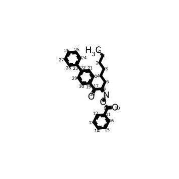 CCCCCCC(=NOC(=O)c1ccccc1)C(=O)c1ccc(-c2ccccc2)cc1